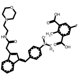 C[S+]([O-])c1ccc(C=C2C=C(CC(=O)NCCN3CCOCC3)c3ccccc32)cc1.Cc1c(C(=O)O)cc(F)cc1C(=O)O